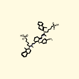 C/C(=C\C=C1/CCCC(/C=C/C(C)=C(\CCCCS(=O)(=O)O)c2ccc3ccccc3c2C)=C1Sc1ccc(N)cc1)N(CCCCS(=O)(=O)O)c1ccc2ccccc2c1C